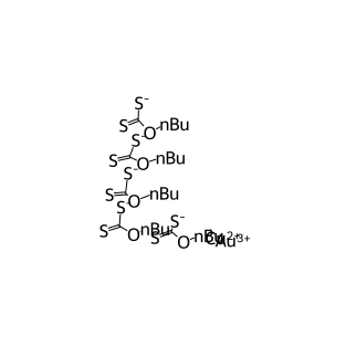 CCCCOC(=S)[S-].CCCCOC(=S)[S-].CCCCOC(=S)[S-].CCCCOC(=S)[S-].CCCCOC(=S)[S-].[Au+3].[Cu+2]